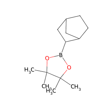 CC1(C)OB(C2CC3CCC2C3)OC1(C)C